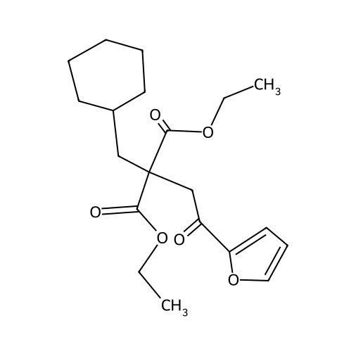 CCOC(=O)C(CC(=O)c1ccco1)(CC1CCCCC1)C(=O)OCC